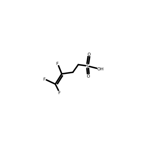 O=S(=O)(O)CCC(F)=C(F)F